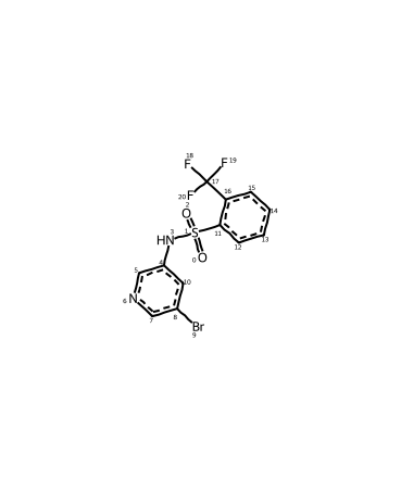 O=S(=O)(Nc1cncc(Br)c1)c1ccccc1C(F)(F)F